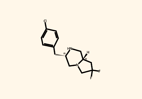 FC1(F)C[C@H]2CN[C@@H](Cc3ccc(Cl)cc3)CN2C1